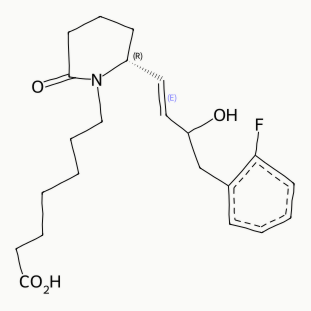 O=C(O)CCCCCCN1C(=O)CCC[C@@H]1/C=C/C(O)Cc1ccccc1F